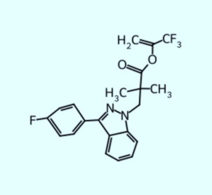 C=C(OC(=O)C(C)(C)Cn1nc(-c2ccc(F)cc2)c2ccccc21)C(F)(F)F